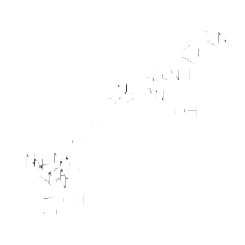 Cc1ncsc1-c1ccc(CNC(=O)[C@@H]2C[C@@H](O)CN2C(=O)[C@@H](c2cc(OCCOCCOCCOc3cc(N4C5CCC4CN(c4cc(-c6ccccc6O)nnc4N)C5)ccn3)no2)C(C)C)cc1